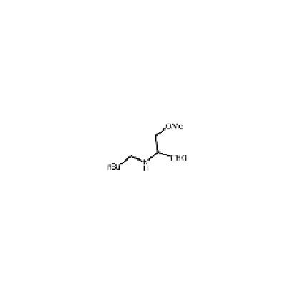 CCCCCNC(C=O)COC